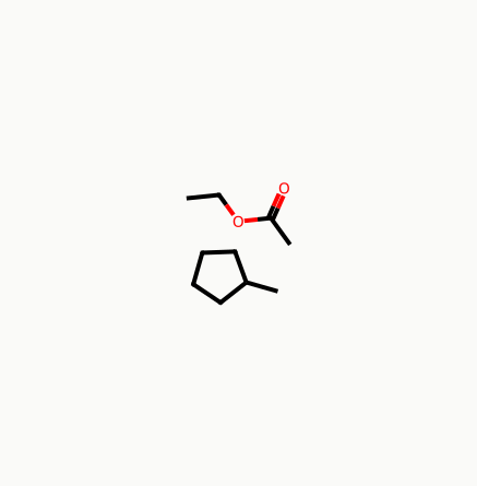 CC1CCCC1.CCOC(C)=O